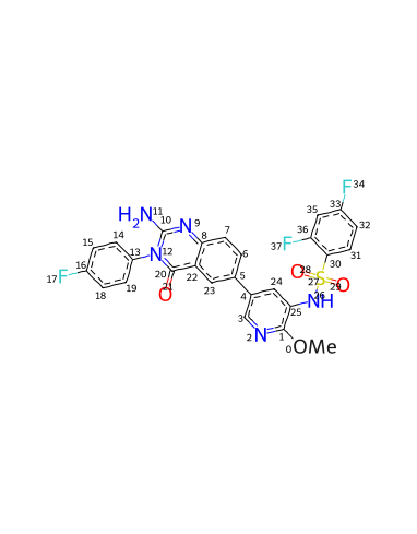 COc1ncc(-c2ccc3nc(N)n(-c4ccc(F)cc4)c(=O)c3c2)cc1NS(=O)(=O)c1ccc(F)cc1F